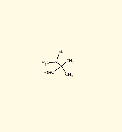 CCN(C)C(C)(C)[C]=O